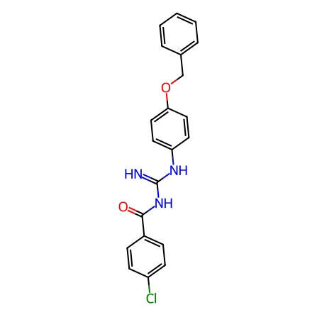 N=C(NC(=O)c1ccc(Cl)cc1)Nc1ccc(OCc2ccccc2)cc1